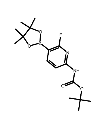 CC(C)(C)OC(=O)Nc1ccc(B2OC(C)(C)C(C)(C)O2)c(F)n1